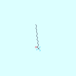 CCCCCCCCCCCCC(=O)C(F)(F)F